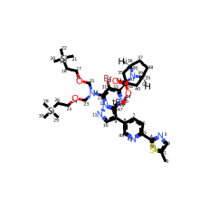 Cc1cnc(-c2ccc(-c3cnn4c(N(COCC[Si](C)(C)C)COCC[Si](C)(C)C)c(Br)c([C@H]5C[C@H]6CC[C@@H](C5)N6C(=O)OC(C)(C)C)nc34)cn2)s1